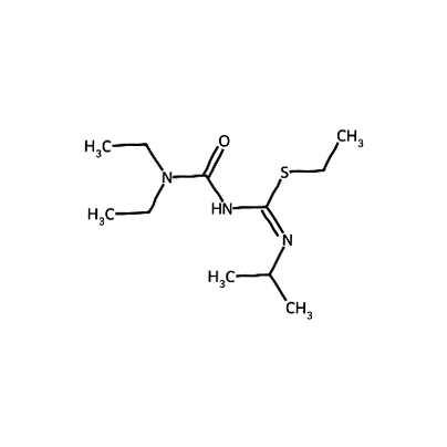 CCSC(=NC(C)C)NC(=O)N(CC)CC